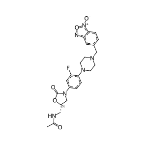 CC(=O)NC[C@H]1CN(c2ccc(N3CCN(Cc4ccc5c(c4)no[n+]5[O-])CC3)c(F)c2)C(=O)O1